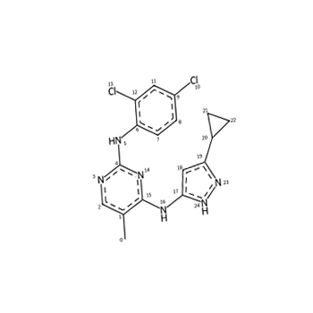 Cc1cnc(Nc2ccc(Cl)cc2Cl)nc1Nc1cc(C2CC2)n[nH]1